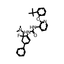 CN(C)CC1(F)CC(c2ccccc2)=CC=C1NC(=O)Nc1cccnc1Oc1ccccc1C(C)(C)C